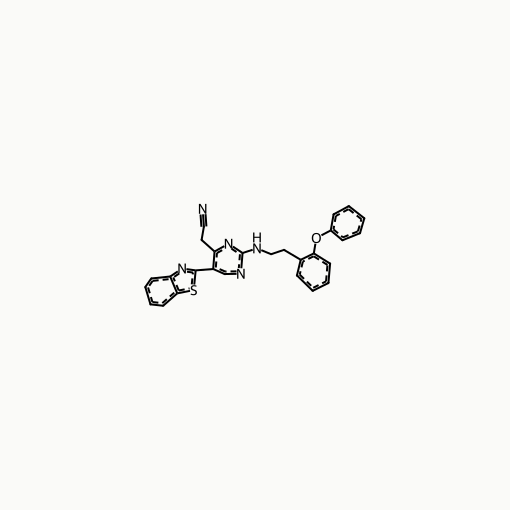 N#CCc1nc(NCCc2ccccc2Oc2ccccc2)ncc1-c1nc2ccccc2s1